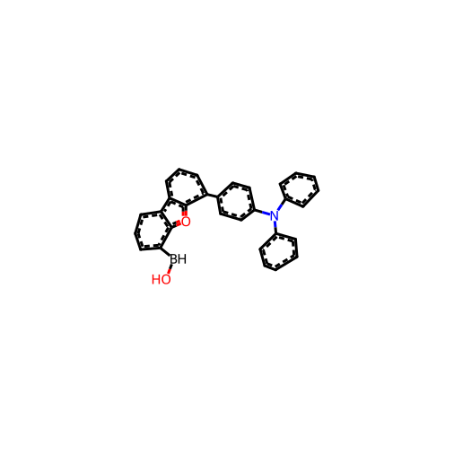 OBc1cccc2c1oc1c(-c3ccc(N(c4ccccc4)c4ccccc4)cc3)cccc12